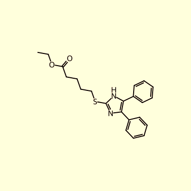 CCOC(=O)CCCCSc1nc(-c2ccccc2)c(-c2ccccc2)[nH]1